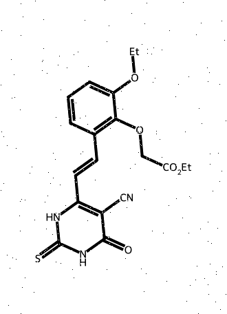 CCOC(=O)COc1c(C=Cc2[nH]c(=S)[nH]c(=O)c2C#N)cccc1OCC